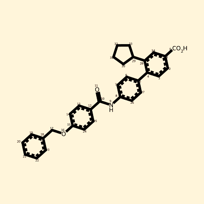 O=C(O)c1ccc(-c2ccc(NC(=O)c3ccc(OCc4ccccc4)cc3)cc2)c(C2CCCC2)c1